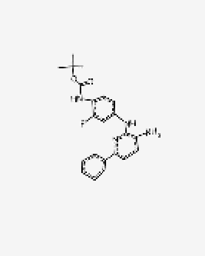 CC(C)(C)OC(=O)Nc1ccc(Nc2nc(-c3ccccc3)ccc2N)cc1F